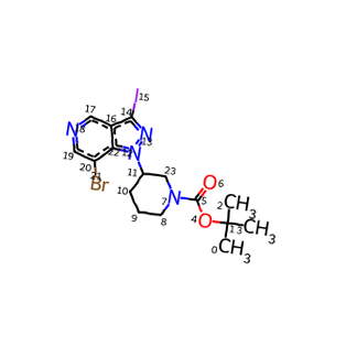 CC(C)(C)OC(=O)N1CCCC(n2nc(I)c3cncc(Br)c32)C1